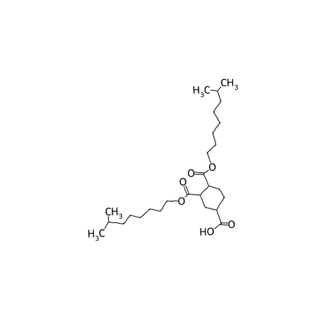 CC(C)CCCCCCOC(=O)C1CCC(C(=O)O)CC1C(=O)OCCCCCCC(C)C